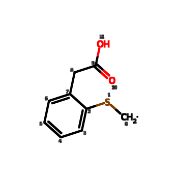 [CH2]Sc1ccccc1CC(=O)O